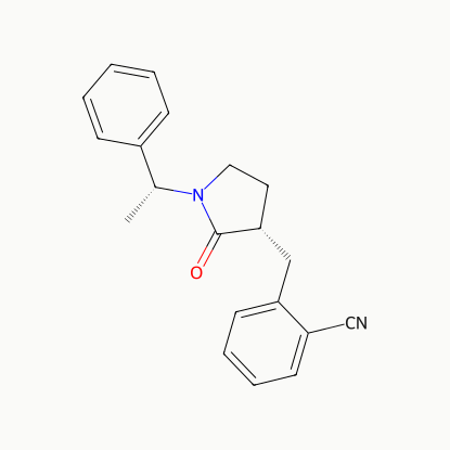 C[C@H](c1ccccc1)N1CC[C@H](Cc2ccccc2C#N)C1=O